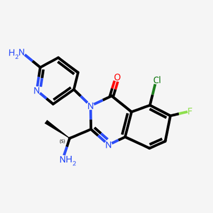 C[C@H](N)c1nc2ccc(F)c(Cl)c2c(=O)n1-c1ccc(N)nc1